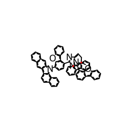 CC1C/C=C(n2c3ccccc3c3ccccc32)/N=C(c2ccc(-n3c4cc5ccccc5cc4c4ccc5ccccc5c43)c3oc4ccccc4c23)\N=C/1c1cccc2c1oc1ccccc12